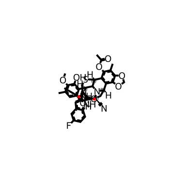 COc1c(C)cc2c(c1O)[C@H]1C3[C@@H]4SC[C@]5(NC(C)Cc6c5[nH]c5ccc(F)cc65)C(=O)OC[C@@H](c5c6c(c(C)c(OC(C)=O)c54)OCO6)N3[C@@H](C#N)[C@@H](C2)N1C